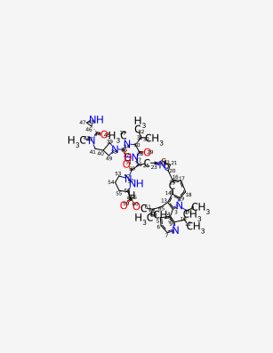 CCn1c(-c2cccnc2C(C)C)c2c3cc(ccc31)-c1csc(n1)C[C@H](NC(=O)[C@H](C(C)C)N(C)C(=O)N1CC(CN(C)C(=O)[C@@H]3CN3)C1)C(=O)N1CCC[C@H](N1)C(=O)OCC(C)(C)C2